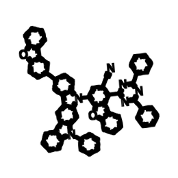 N#Cc1cc(-n2c3ccc(-c4ccc5oc6ccccc6c5c4)cc3c3cc4c5ccccc5n(-c5ccccc5)c4cc32)c2oc3ccccc3c2c1-c1nc(-c2ccccc2)nc(-c2ccccc2)n1